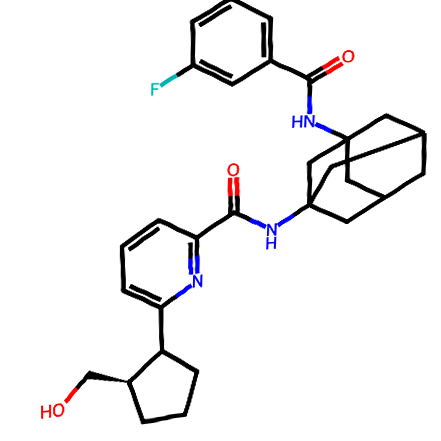 O=C(NC12CC3CC(C1)CC(NC(=O)c1cccc(C4CCC[C@H]4CO)n1)(C3)C2)c1cccc(F)c1